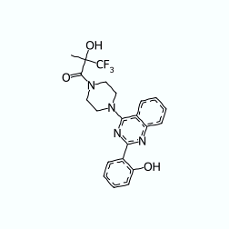 CC(O)(C(=O)N1CCN(c2nc(-c3ccccc3O)nc3ccccc23)CC1)C(F)(F)F